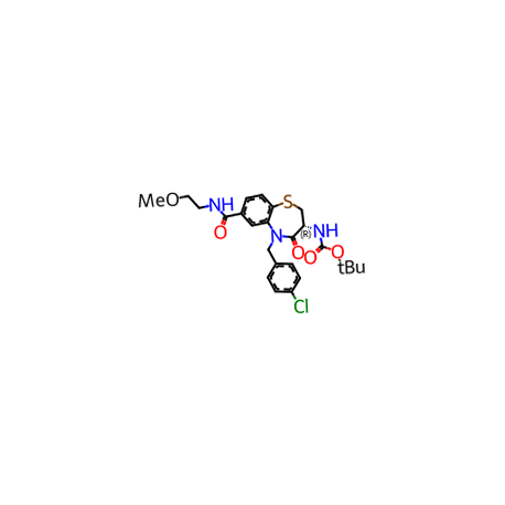 COCCNC(=O)c1ccc2c(c1)N(Cc1ccc(Cl)cc1)C(=O)[C@@H](NC(=O)OC(C)(C)C)CS2